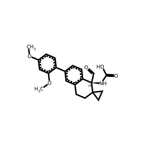 COc1ccc(-c2ccc3c(c2)CCC2(CC2)[C@]3(C=O)NC(=O)O)c(OC)c1